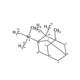 CC12CC3CC(C1)CC([N+](C)(C)C)(C3)C2(C)C